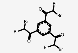 O=C(c1cc(C(=O)C(Br)Br)cc(C(=O)C(Br)Br)c1)C(Br)Br